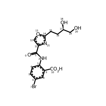 O=C(Nc1ccc(Br)cc1C(=O)O)c1coc(CC[C@@H](O)CO)n1